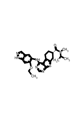 CCOc1cc2[nH]ncc2cc1Nc1ncnc2sc3c(c12)CC[C@H](C(=O)N(C)C(C)C)C3